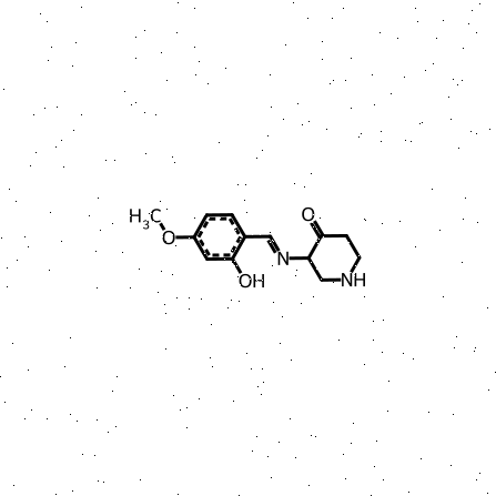 COc1ccc(C=NC2CNCCC2=O)c(O)c1